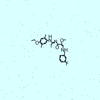 CCOc1cc(C)c(N/C(I)=N/C(=O)/C(=C\NCc2cccc(F)c2)OC)cc1C